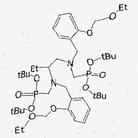 CCOCOc1ccccc1CN(CC(CC)N(Cc1ccccc1OCOCC)CP(=O)(OC(C)(C)C)OC(C)(C)C)CP(=O)(OC(C)(C)C)OC(C)(C)C